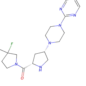 CC1(F)CCN(C(=O)[C@@H]2C[C@H](N3CCN(c4ncccn4)CC3)CN2)C1